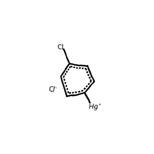 Clc1cc[c]([Hg+])cc1.[Cl-]